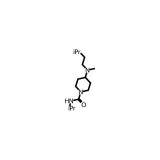 CC(C)CCN(C)C1CCN(C(=O)NC(C)C)CC1